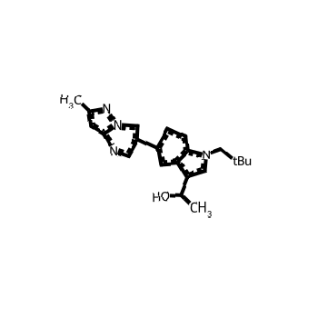 Cc1cc2ncc(-c3ccc4c(c3)c(C(C)O)cn4CC(C)(C)C)cn2n1